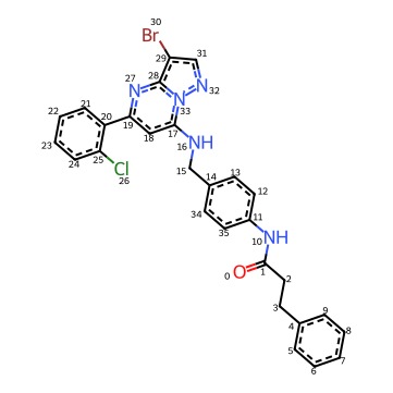 O=C(CCc1ccccc1)Nc1ccc(CNc2cc(-c3ccccc3Cl)nc3c(Br)cnn23)cc1